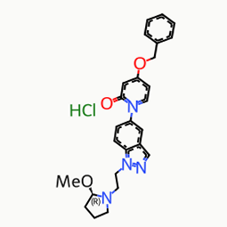 CO[C@@H]1CCCN1CCn1ncc2cc(-n3ccc(OCc4ccccc4)cc3=O)ccc21.Cl